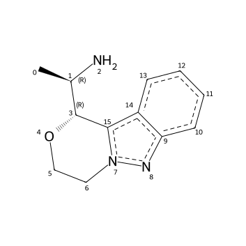 C[C@@H](N)[C@H]1OCCn2nc3ccccc3c21